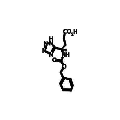 O=C(O)CC[C@@H](NC(=O)OCc1ccccc1)c1nnn[nH]1